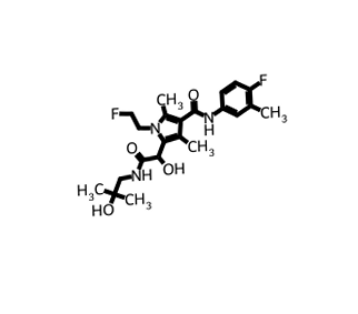 Cc1cc(NC(=O)c2c(C)c(C(O)C(=O)NCC(C)(C)O)n(CCF)c2C)ccc1F